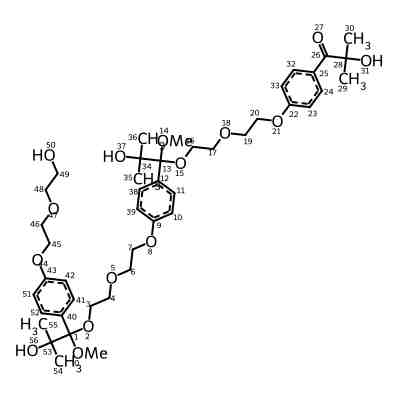 COC(OCCOCCOc1ccc(C(OC)(OCCOCCOc2ccc(C(=O)C(C)(C)O)cc2)C(C)(C)O)cc1)(c1ccc(OCCOCCO)cc1)C(C)(C)O